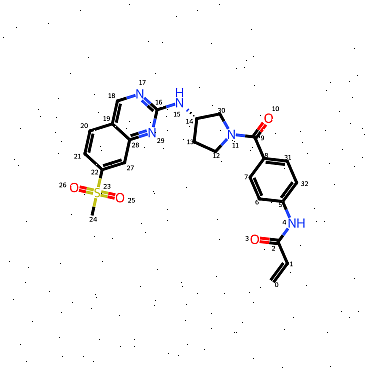 C=CC(=O)Nc1ccc(C(=O)N2CC[C@H](Nc3ncc4ccc(S(C)(=O)=O)cc4n3)C2)cc1